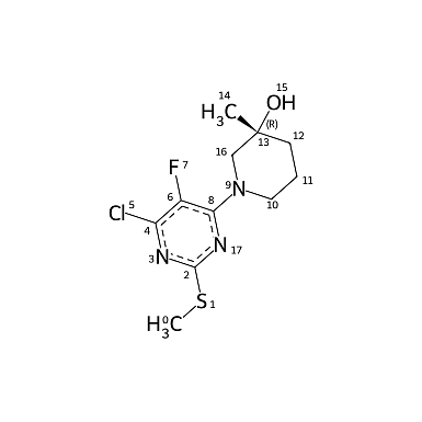 CSc1nc(Cl)c(F)c(N2CCC[C@@](C)(O)C2)n1